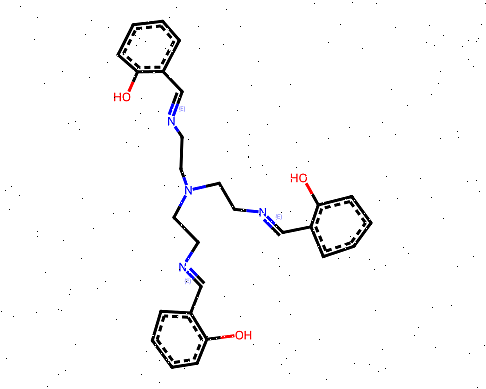 Oc1ccccc1/C=N/CCN(CC/N=C/c1ccccc1O)CC/N=C/c1ccccc1O